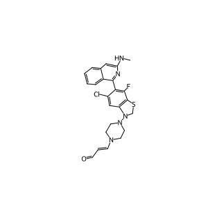 CNc1cc2ccccc2c(-c2c(Cl)cc3c(c2F)SCN3N2CCN(C=CC=O)CC2)n1